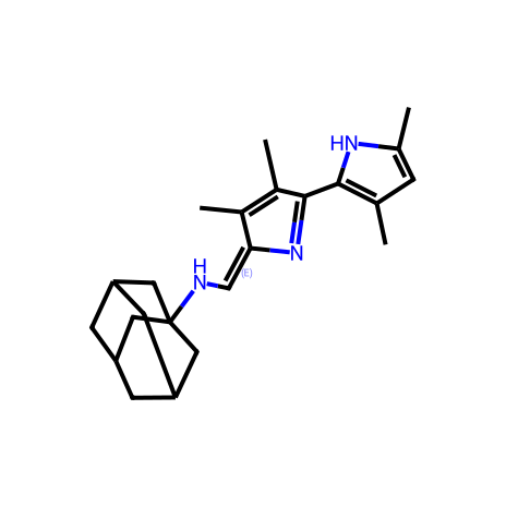 CC1=C(C)/C(=C\NC23CC4CC(CC(C4)C2)C3)N=C1c1[nH]c(C)cc1C